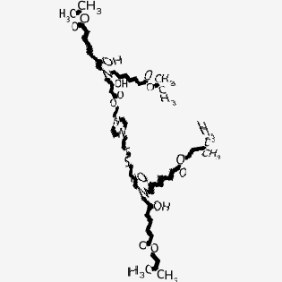 CC(C)CCOC(=O)CCCCC(O)CN(CCCCSSCCN1CCN(CCOC(=O)CCCN(CC(O)CCCCC(=O)OC(C)C)CC(O)CCCCC(=O)OC(C)C)CC1)CC(O)CCCCC(=O)OCCC(C)C